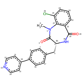 CN1C(=O)[C@@H](Cc2ccc(-c3ccncc3)cc2)NC(=O)c2cccc(Cl)c21